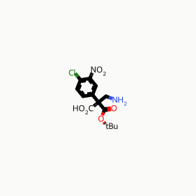 CC(C)(C)OC(=O)C(CN)(C(=O)O)c1ccc(Cl)c([N+](=O)[O-])c1